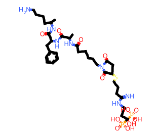 CC(CCCCN)NC(=O)C(Cc1ccccc1)NC(=O)C(C)NC(=O)CCCCCN1C(=O)CC(SCCCC(=N)NCCC(O)(P(=O)(O)O)P(=O)(O)O)C1=O